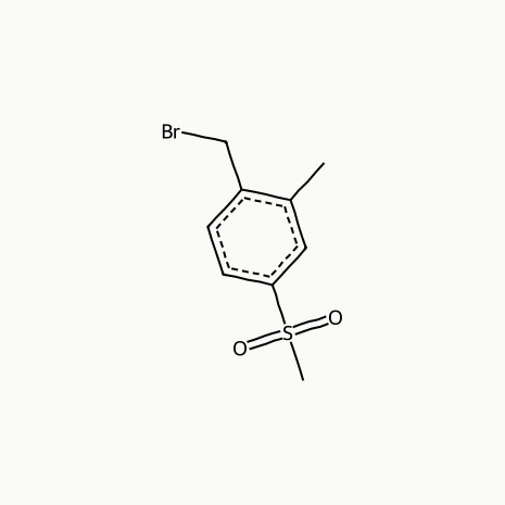 Cc1cc(S(C)(=O)=O)ccc1CBr